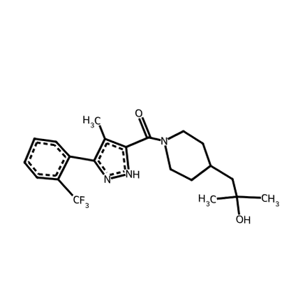 Cc1c(-c2ccccc2C(F)(F)F)n[nH]c1C(=O)N1CCC(CC(C)(C)O)CC1